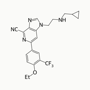 CCOc1ccc(-c2cc3c(ncn3CCNCC3CC3)c(C#N)n2)cc1C(F)(F)F